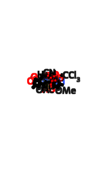 COc1c(C)cc2c(c1O)[C@H]1C3[C@@H]4SCC(NC(=O)OCC(Cl)(Cl)Cl)C(=O)OC[C@@H](c5c6c(c(C)c(OC(C)=O)c54)OCO6)N3[C@@H](C#N)[C@@H](C2)N1C